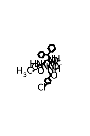 CCOC(=O)Nc1cc(NC(c2ccccc2)c2ccccc2)c([N+](=O)[O-])c(NCC(=O)c2ccc(Cl)cc2)n1